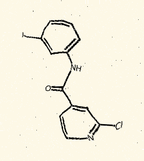 O=C(Nc1cccc(I)c1)c1ccnc(Cl)c1